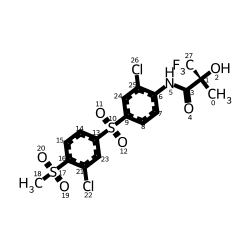 C[C@@](O)(C(=O)Nc1ccc(S(=O)(=O)c2ccc(S(C)(=O)=O)c(Cl)c2)cc1Cl)C(F)(F)F